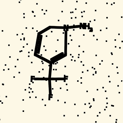 NN1C=C(C(F)(F)F)C=CC1